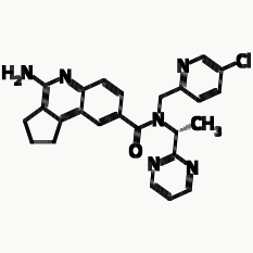 C[C@H](c1ncccn1)N(Cc1ccc(Cl)cn1)C(=O)c1ccc2nc(N)c3c(c2c1)CCC3